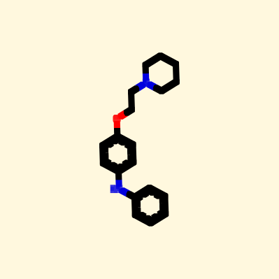 c1ccc(Nc2ccc(OCCN3CCCCC3)cc2)cc1